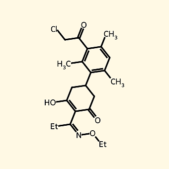 CCO/N=C(/CC)C1=C(O)CC(c2c(C)cc(C)c(C(=O)CCl)c2C)CC1=O